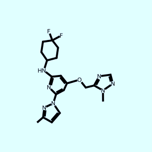 Cc1ccn(-c2cc(OCc3ncnn3C)cc(NC3CCC(F)(F)CC3)n2)n1